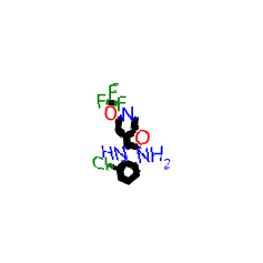 Nc1oc2cnc(OC(F)(F)F)cc2c1Nc1ccccc1Cl